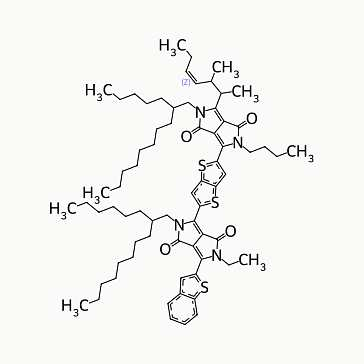 CC/C=C\C(C)C(C)C1=C2C(=O)N(CCCC)C(c3cc4sc(C5=C6C(=O)N(CC)C(c7cc8ccccc8s7)=C6C(=O)N5CC(CCCCCC)CCCCCCCC)cc4s3)=C2C(=O)N1CC(CCCCC)CCCCCCCC